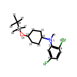 CN(c1cc(F)ccc1Br)C1CCC(O[Si](C)(C)C(C)(C)C)CC1